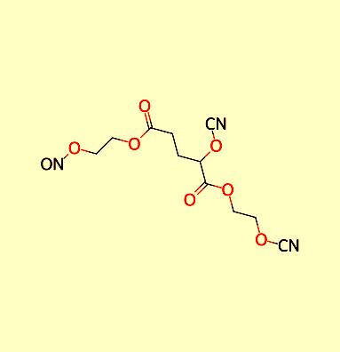 N#COCCOC(=O)C(CCC(=O)OCCON=O)OC#N